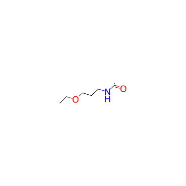 CCOCCCN[C]=O